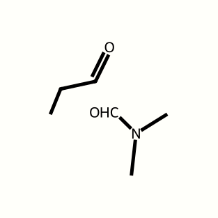 CCC=O.CN(C)C=O